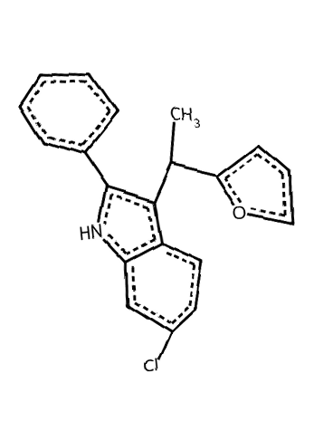 CC(c1ccco1)c1c(-c2ccccc2)[nH]c2cc(Cl)ccc12